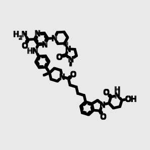 CN1CCN([C@@H]2CCCN(c3cnc(C(N)=O)c(Nc4ccc(C5(C)CCN(C(=O)CCCCc6cccc7c6CN(C6CCC(O)NC6=O)C7=O)CC5)cc4)n3)C2)C1=O